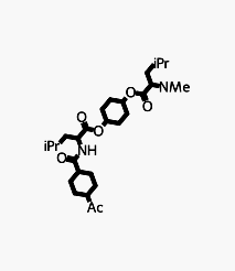 CNC(CC(C)C)C(=O)OC1CCC(OC(=O)C(CC(C)C)NC(=O)C2CCC(C(C)=O)CC2)CC1